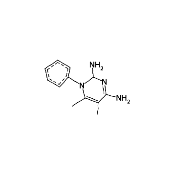 CC1=C(C)N(c2ccccc2)C(N)N=C1N